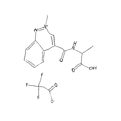 CC(NC(=O)c1c[n+](C)nc2ccccc12)C(=O)O.O=C([O-])C(F)(F)F